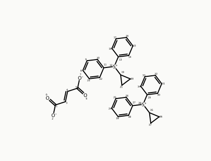 O=C([O-])C=CC(=O)[O-].c1ccc([S+](c2ccccc2)C2CC2)cc1.c1ccc([S+](c2ccccc2)C2CC2)cc1